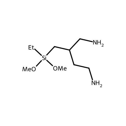 CC[Si](CC(CN)CCN)(OC)OC